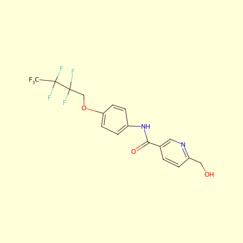 O=C(Nc1ccc(OCC(F)(F)C(F)(F)C(F)(F)F)cc1)c1ccc(CO)nc1